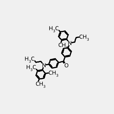 CCCN(c1ccc(C(=O)c2ccc(N(CCC)c3c(C)cc(C)cc3C)cc2)cc1)c1ccc(C)cc1C